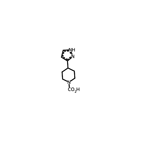 O=C(O)N1CCC(c2cc[nH]n2)CC1